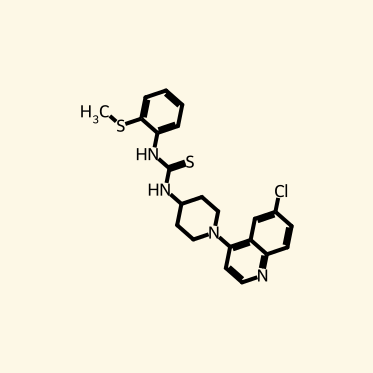 CSc1ccccc1NC(=S)NC1CCN(c2ccnc3ccc(Cl)cc23)CC1